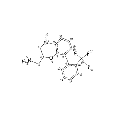 CN1CC(CN)Oc2c(-c3ccccc3C(F)(F)F)cccc21